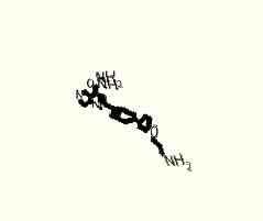 NCCCOc1ccc(-c2ccc(-c3cc(C(=O)NN)c4cnccc4n3)cc2)cc1